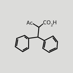 CC(=O)C(C(=O)O)C(c1ccccc1)c1ccccc1